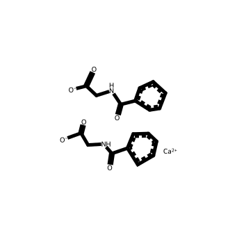 O=C([O-])CNC(=O)c1ccccc1.O=C([O-])CNC(=O)c1ccccc1.[Ca+2]